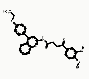 CCOc1ccc(C(=O)CCC(=O)Nc2cc(-c3ccc(OCC(=O)O)cc3)c3ccccc3n2)cc1OCC